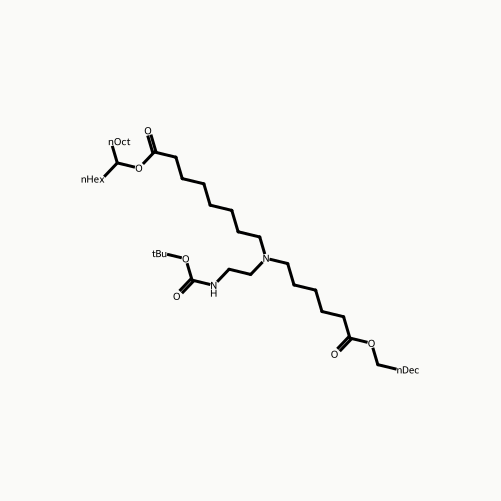 CCCCCCCCCCCOC(=O)CCCCCN(CCCCCCCC(=O)OC(CCCCCC)CCCCCCCC)CCNC(=O)OC(C)(C)C